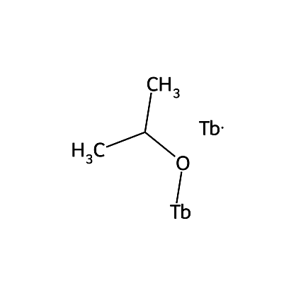 CC(C)[O][Tb].[Tb]